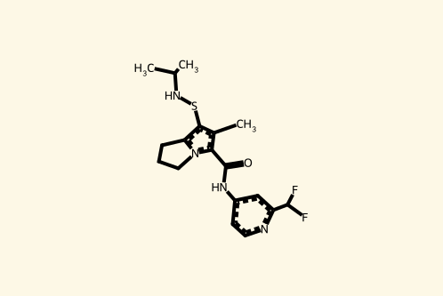 Cc1c(SNC(C)C)c2n(c1C(=O)Nc1ccnc(C(F)F)c1)CCC2